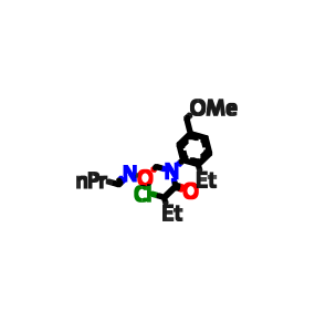 CCCC=NOCN(C(=O)C(Cl)CC)c1cc(COC)ccc1CC